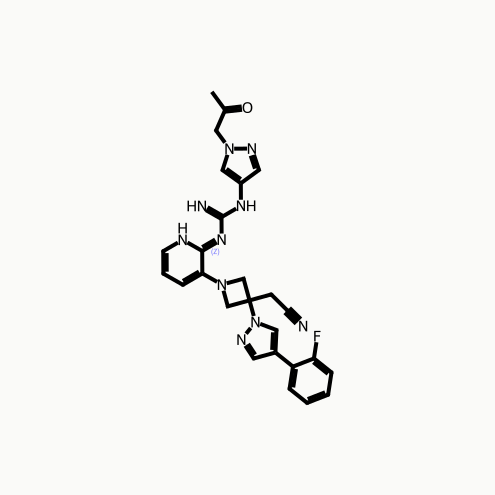 CC(=O)Cn1cc(NC(=N)/N=c2\[nH]cccc2N2CC(CC#N)(n3cc(-c4ccccc4F)cn3)C2)cn1